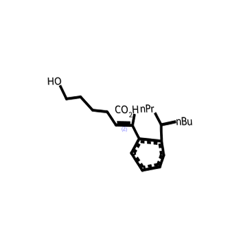 CCCCC(CCC)c1ccccc1/C(=C/CCCCO)C(=O)O